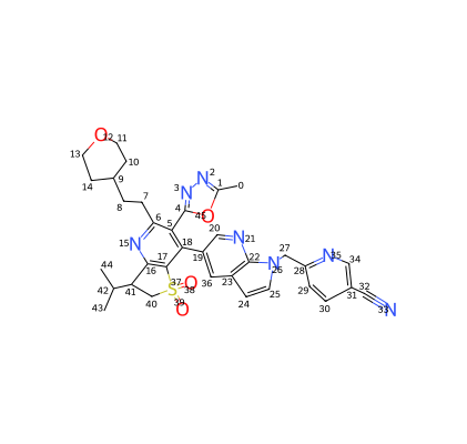 Cc1nnc(-c2c(CCC3CCOCC3)nc3c(c2-c2cnc4c(ccn4Cc4ccc(C#N)cn4)c2)S(=O)(=O)CC3C(C)C)o1